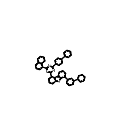 c1ccc(-c2ccc(-c3nc(-c4cccc5ccccc45)nc(-c4cccc5sc6c(-c7cccc(-c8ccccc8)c7)cccc6c45)n3)cc2)cc1